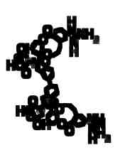 N=C(N)Nc1ccc2c(c1)CCCOc1c(cccc1C(=O)N(Cc1cccc(-c3cccc(CN(C(=O)c4cccc5c4OCCCc4cc(NC(=N)N)ccc4C(=O)O5)[C@@H](CC(=O)O)C(=O)O)c3)c1)[C@@H](CC(=O)O)C(=O)O)OC2=O